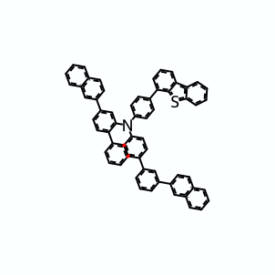 c1ccc(-c2ccc(-c3ccc4ccccc4c3)cc2N(c2ccc(-c3cccc(-c4ccc5ccccc5c4)c3)cc2)c2ccc(-c3cccc4c3sc3ccccc34)cc2)cc1